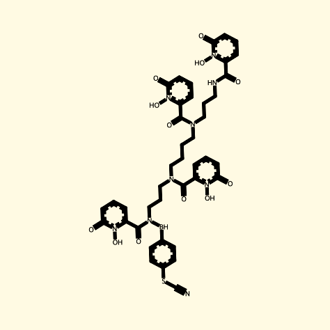 N#CSc1ccc(BN(CCCN(CCCCN(CCCNC(=O)c2cccc(=O)n2O)C(=O)c2cccc(=O)n2O)C(=O)c2cccc(=O)n2O)C(=O)c2cccc(=O)n2O)cc1